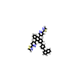 c1ccc2c(-c3ccc(-c4ccc5c(-c6ccc(-c7nccs7)nc6)c6ccccc6c(-c6ccc(-c7nccs7)nc6)c5c4)cc3)cccc2c1